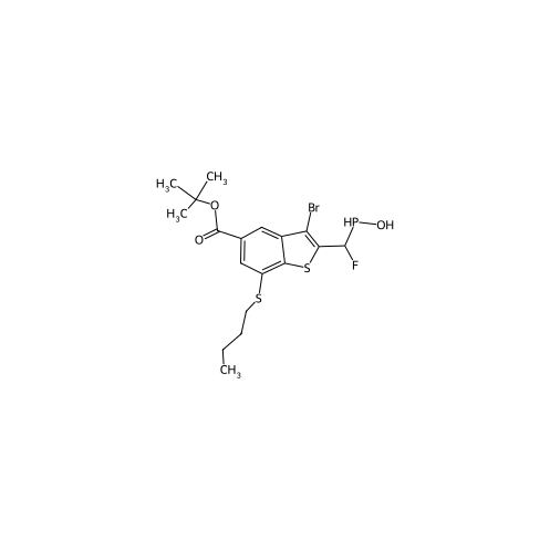 CCCCSc1cc(C(=O)OC(C)(C)C)cc2c(Br)c(C(F)PO)sc12